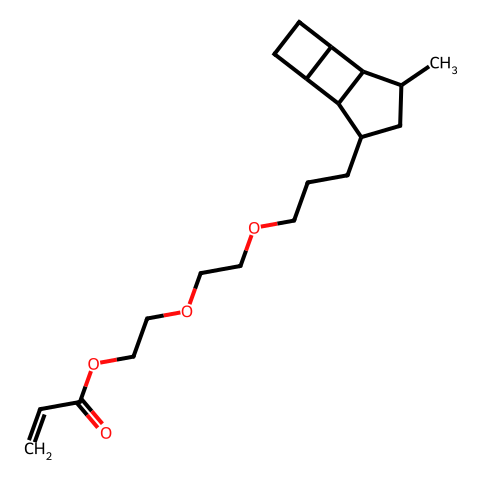 C=CC(=O)OCCOCCOCCCC1CC(C)C2C3CCC3C12